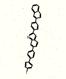 Ic1ccc(-c2ccc(-c3ccc4cc(-c5ccc(-c6ccc7ccccc7c6)cc5)cnc4c3)cc2)cc1